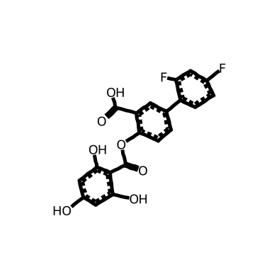 O=C(O)c1cc(-c2ccc(F)cc2F)ccc1OC(=O)c1c(O)cc(O)cc1O